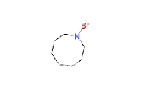 BrN1CCCCCCC1